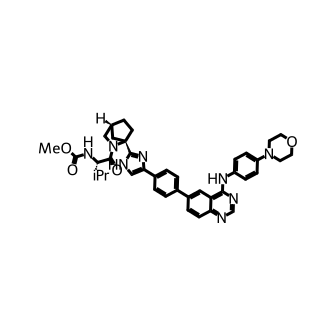 COC(=O)N[C@H](C(=O)N1C[C@@H]2CC[C@@]1(c1nc(-c3ccc(-c4ccc5ncnc(Nc6ccc(N7CCOCC7)cc6)c5c4)cc3)c[nH]1)C2)C(C)C